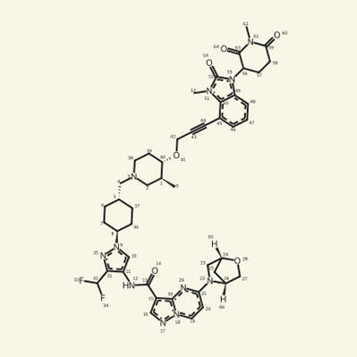 C[C@H]1CN(C[C@H]2CC[C@H](n3cc(NC(=O)c4cnn5ccc(N6C[C@H]7C[C@@H]6CO7)nc45)c(C(F)F)n3)CC2)CC[C@@H]1OCC#Cc1cccc2c1n(C)c(=O)n2C1CCC(=O)N(C)C1=O